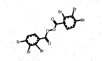 O=C(OOC(=O)c1ccc(Br)c(Br)c1Br)c1ccc(Br)c(Br)c1Br